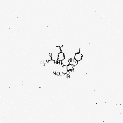 Cc1ccc(Cn2ncc(N=C3C=CC(=[N+](C)C)C=C3NC(N)=O)c2N)cc1.O=S(=O)(O)O